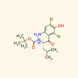 CC(C)C[C@H](NC(=O)OC(C)(C)C)C(=O)c1c(N)cc(Br)c(O)c1Br